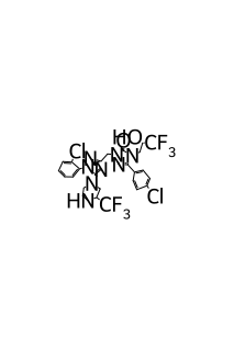 O=c1n(Cc2nc(N3CCNC(C(F)(F)F)C3)n(-c3ccccc3Cl)n2)nc(-c2ccc(Cl)cc2)n1C[C@H](O)C(F)(F)F